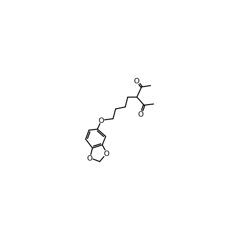 CC(=O)C(CCCCOc1ccc2c(c1)OCO2)C(C)=O